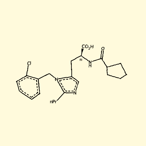 CCCc1ncc(C[C@H](NC(=O)C2CCCC2)C(=O)O)n1Cc1ccccc1Cl